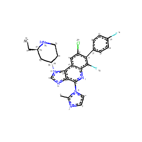 Cc1nccn1-c1nc2c(F)c(-c3ccc(F)cc3)c(Cl)cc2c2c1ncn2[C@H]1CCN[C@H](CC#N)C1